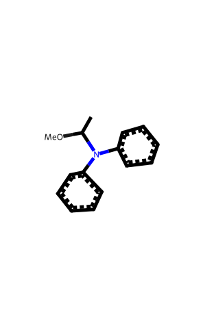 COC(C)N(c1ccccc1)c1ccccc1